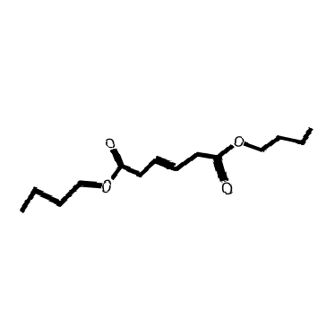 CCCCOC(=O)CC=CCC(=O)OCCCC